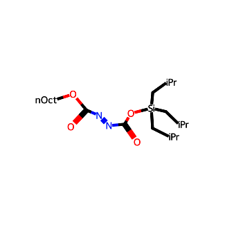 CCCCCCCCOC(=O)N=NC(=O)O[Si](CC(C)C)(CC(C)C)CC(C)C